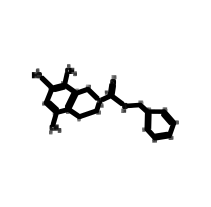 Cc1cc(O)c(C)c2c1CCN(C(=O)OCc1ccccc1)C2